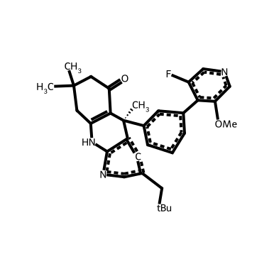 COc1cncc(F)c1-c1cccc([C@]2(C)C3=C(CC(C)(C)CC3=O)Nc3ncc(CC(C)(C)C)cc32)c1